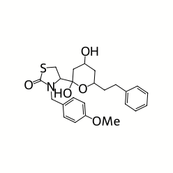 COc1ccc(CN2C(=O)SCC2C2(O)CC(O)CC(CCc3ccccc3)O2)cc1